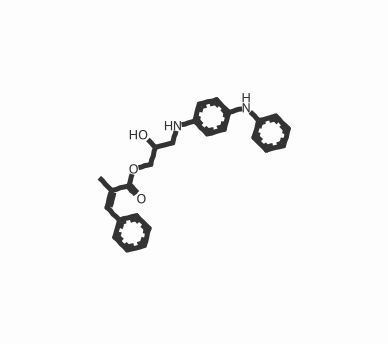 CC(=Cc1ccccc1)C(=O)OCC(O)CNc1ccc(Nc2ccccc2)cc1